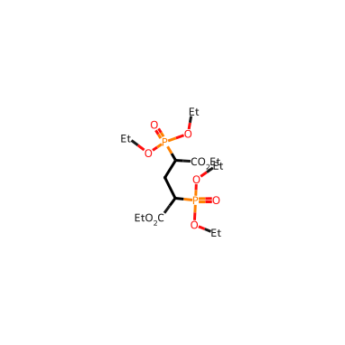 CCOC(=O)C(CC(C(=O)OCC)P(=O)(OCC)OCC)P(=O)(OCC)OCC